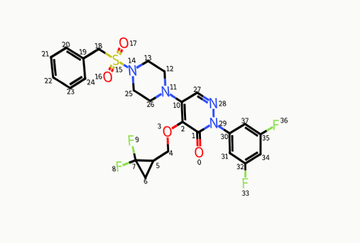 O=c1c(OCC2CC2(F)F)c(N2CCN(S(=O)(=O)Cc3ccccc3)CC2)cnn1-c1cc(F)cc(F)c1